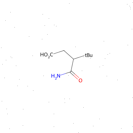 CC(C)(C)C(CC(=O)O)C(N)=O